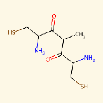 CC(C(=O)C(N)CS)C(=O)C(N)CS